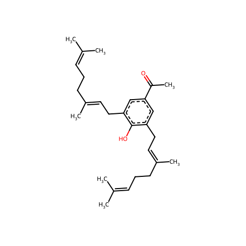 CC(=O)c1cc(C/C=C(\C)CCC=C(C)C)c(O)c(C/C=C(\C)CCC=C(C)C)c1